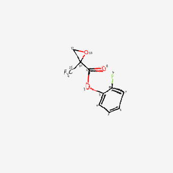 O=C(Oc1ccccc1F)C1(C(F)(F)F)CO1